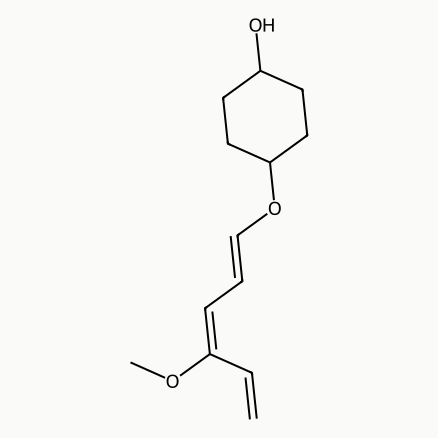 C=C/C(=C\C=C\OC1CCC(O)CC1)OC